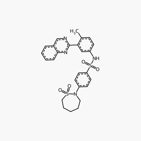 Cc1ccc(NS(=O)(=O)c2ccc(N3CCCCCS3(=O)=O)cc2)cc1-c1ncc2ccccc2n1